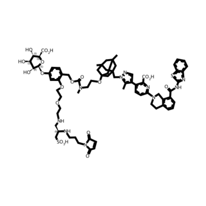 Cc1c(-c2ccc(N3CCc4cccc(C(=O)Nc5nc6ccccc6s5)c4C3)nc2C(=O)O)cnn1CC12CC3(C)CC(C)(C1)CC(OCCN(C)C(=O)OCc1ccc(O[C@@H]4O[C@H](C(=O)O)[C@@H](O)[C@H](O)[C@H]4O)cc1OCCOCCNC[C@H](CS(=O)(=O)O)NCCCN1C(=O)C=CC1=O)(C3)C2